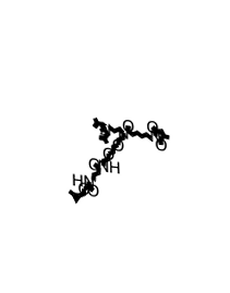 C=C(C)C[Si](C)(CCCN(CCOCCOCCNC(=O)CCCNC(=O)OCC1CC1C)C(=O)CCCCCN1C(=O)C=C(C)C1=O)CC(=C)C